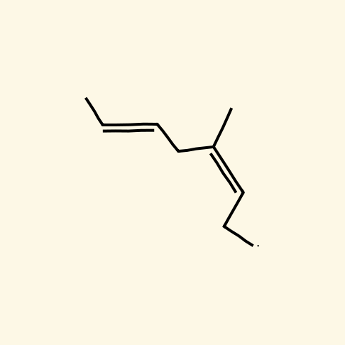 [CH2]CC=C(C)CC=CC